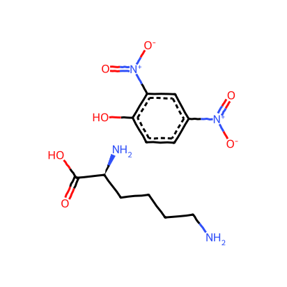 NCCCC[C@H](N)C(=O)O.O=[N+]([O-])c1ccc(O)c([N+](=O)[O-])c1